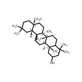 CC1(C)CC[C@]2(C(=O)O)CC[C@]3(C)C(=CC[C@@H]4[C@@]5(C)CC(O)CC(C)(C)C5CC[C@]43C)[C@@H]2C1